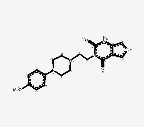 COc1ccc(N2CCN(CCn3c(=O)[nH]c4cocc4c3=O)CC2)cc1